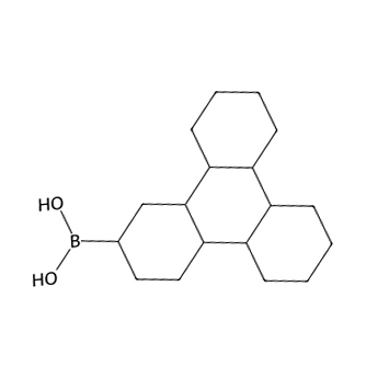 OB(O)C1CCC2C3CCCCC3C3CCCCC3C2C1